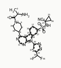 CC(N)C(=O)N1CCC(c2ncnc3c2c2ccc(S(=O)(=O)NC4(C#N)CC4)cc2n3-c2nnc(C(F)F)s2)CC1